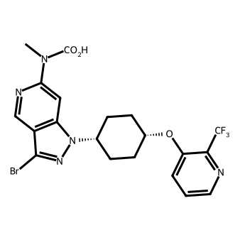 CN(C(=O)O)c1cc2c(cn1)c(Br)nn2[C@H]1CC[C@@H](Oc2cccnc2C(F)(F)F)CC1